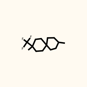 CC1CCC2(CC1)CCC(C)(C(F)(F)F)CC2